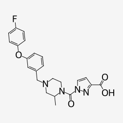 CC1CN(Cc2cccc(Oc3ccc(F)cc3)c2)CCN1C(=O)n1ccc(C(=O)O)n1